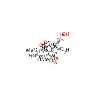 COc1cc([C@@H]2c3cc4c(cc3[C@@H](N(CCOCCO)C(=O)O)[C@H]3COC(=O)[C@@H]23)OCO4)cc(OC)c1O